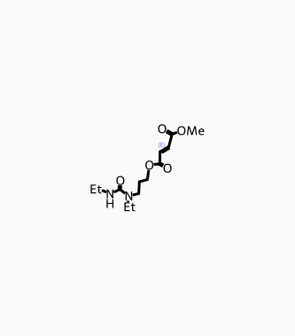 CCNC(=O)N(CC)CCCOC(=O)/C=C/C(=O)OC